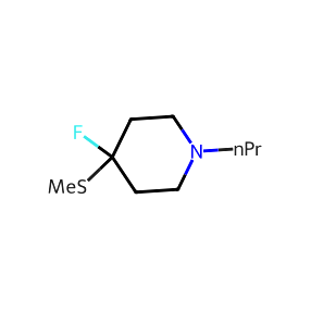 CCCN1CCC(F)(SC)CC1